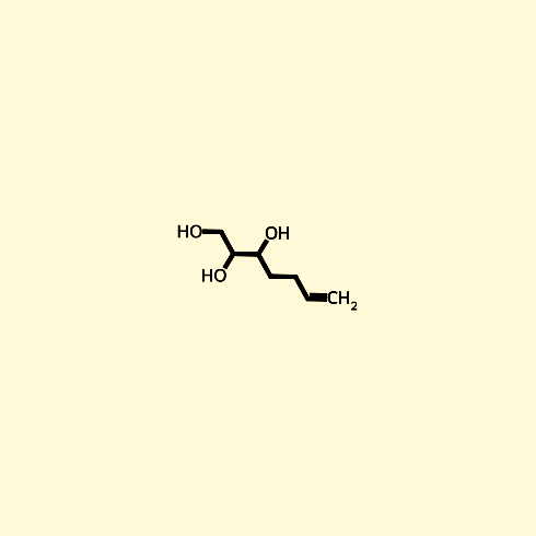 C=CCCC(O)C(O)CO